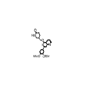 COc1ccc(-c2cc3ncccc3c(OCC3CCC(=O)NC3)n2)cc1OC